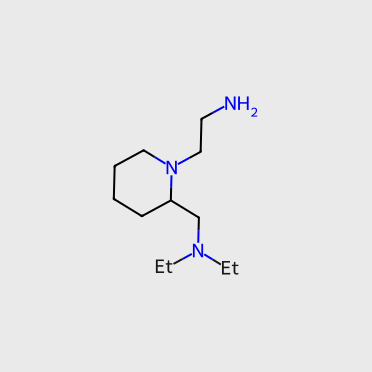 CCN(CC)CC1CCCCN1CCN